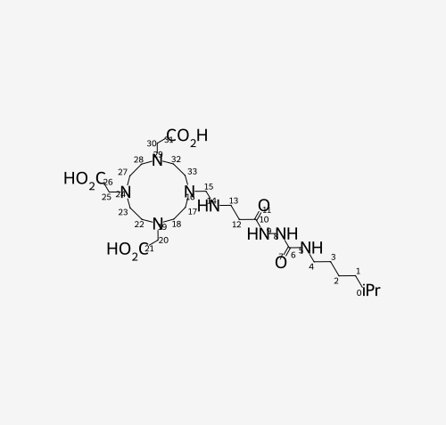 CC(C)CCCCNC(=O)NNC(=O)CCNCN1CCN(CC(=O)O)CCN(CC(=O)O)CCN(CC(=O)O)CC1